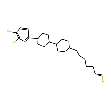 FC=CCCCCCC1CCC(C2CCC(c3ccc(F)c(F)c3)CC2)CC1